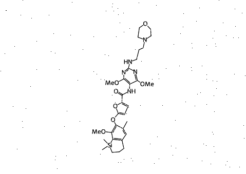 COc1nc(NCCCN2CCOCC2)nc(OC)c1NC(=O)c1ccc(Oc2c(C)cc3c(c2OC)[Si](C)(C)CCC3)o1